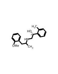 COc1ccccc1CC(C)NC[C@H](O)c1ccccc1C